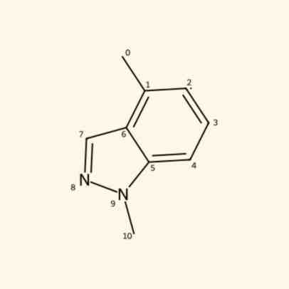 Cc1[c]ccc2c1cnn2C